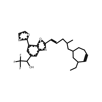 CCC1C#CCCC(CC(C)C/C=C/c2nc3cc(C(O)C(F)(F)F)cc(-c4nccs4)c3o2)C1